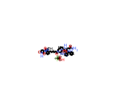 Cn1c(=O)n(C2CCC(=O)NC2=O)c2cccc(CCCCCC(=O)N3CC[C@H]4CC[C@@H](C(=O)N[C@@H](CCC(N)=O)C(=O)NC(c5ccccc5)c5ccccc5)N4C(=O)[C@@H](N)C3)c21.O=C(O)C(F)(F)F